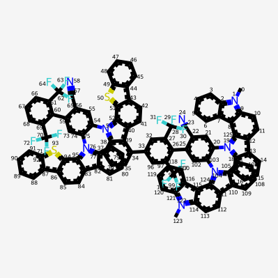 Cn1c2ccccc2c2c1ccc1c3ccccc3n(-c3cc(C#N)c(-c4c(C(F)(F)F)cc(-c5cccc6c5c5ccc7c8ccccc8sc7c5n6-c5cc(C#N)c(-c6c(C(F)(F)F)cccc6C(F)(F)F)cc5-n5c6ccccc6c6ccc7c8ccccc8sc7c65)cc4C(F)(F)F)cc3-n3c4ccccc4c4ccc5c(c6ccccc6n5C)c43)c12